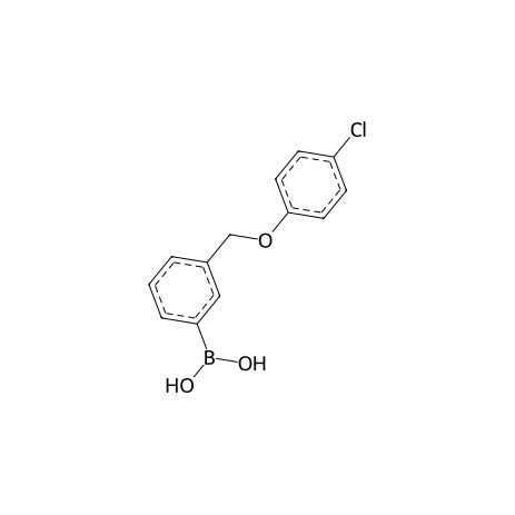 OB(O)c1cccc(COc2ccc(Cl)cc2)c1